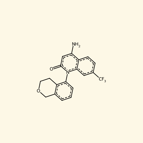 Nc1cc(=O)n(-c2cccc3c2CCOC3)c2cc(C(F)(F)F)ccc12